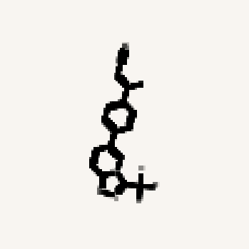 CC(=CC#N)c1ccc(-c2ccc3nnc(C(F)(F)F)n3c2)cc1